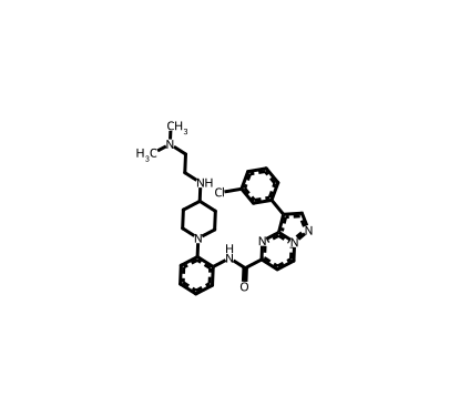 CN(C)CCNC1CCN(c2ccccc2NC(=O)c2ccn3ncc(-c4cccc(Cl)c4)c3n2)CC1